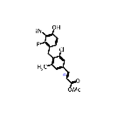 COC(=O)/C=C/c1cc(C)c(Cc2ccc(O)c(C(C)C)c2F)c(Cl)c1